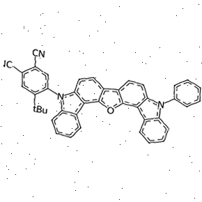 CC(C)(C)c1cc(C#N)c(C#N)cc1-n1c2ccccc2c2c3oc4c(ccc5c4c4ccccc4n5-c4ccccc4)c3ccc21